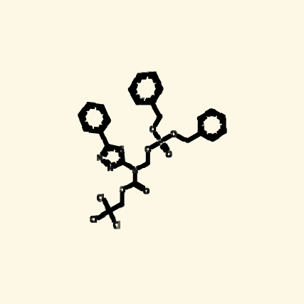 O=C(OCC(Cl)(Cl)Cl)N(COP(=O)(OCc1ccccc1)OCc1ccccc1)c1nnc(-c2ccccc2)s1